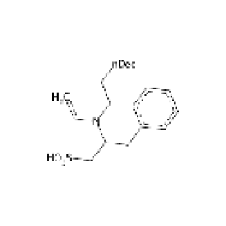 C=CN(CCCCCCCCCCCC)C(Cc1ccccc1)CS(=O)(=O)O